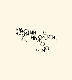 CN1CCN(c2ccc(NCCNc3ccc(N(O)O)c(N)n3)nc2-c2ccc(C(N)=O)cc2)C(=O)C1